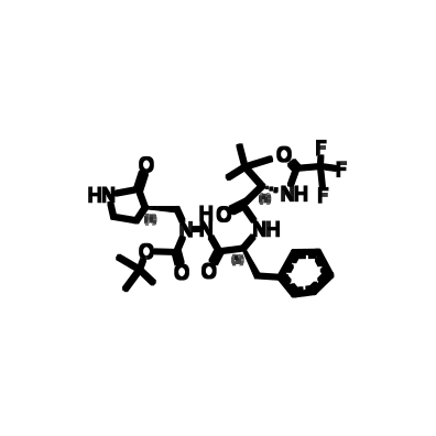 CC(C)(C)OC(=O)N(C[C@H]1CCNC1=O)NC(=O)[C@H](Cc1ccccc1)NC(=O)[C@@H](NC(=O)C(F)(F)F)C(C)(C)C